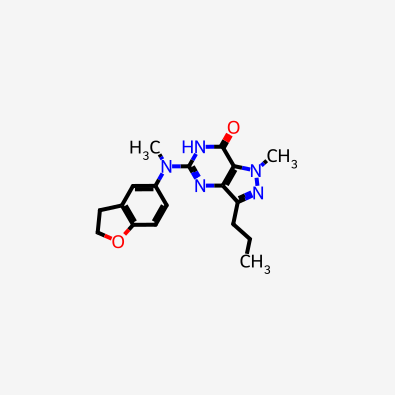 CCCc1nn(C)c2c(=O)[nH]c(N(C)c3ccc4c(c3)CCO4)nc12